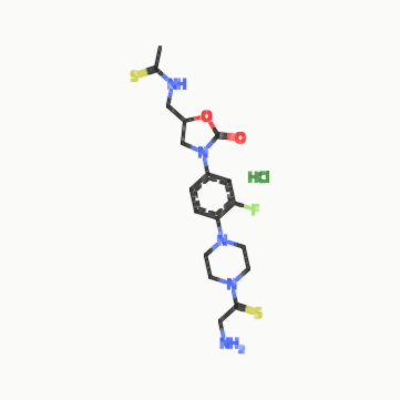 CC(=S)NCC1CN(c2ccc(N3CCN(C(=S)CN)CC3)c(F)c2)C(=O)O1.Cl